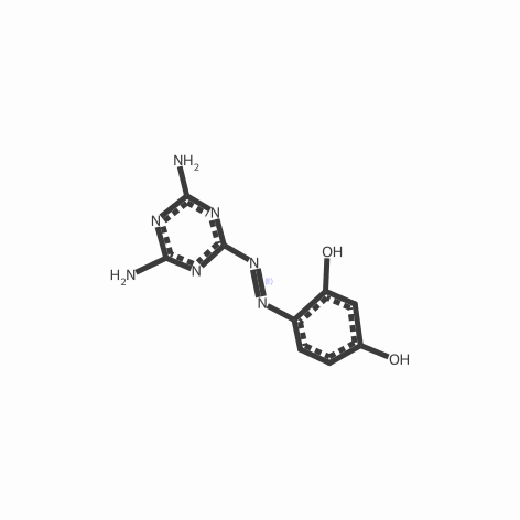 Nc1nc(N)nc(/N=N/c2ccc(O)cc2O)n1